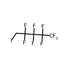 FC(F)(F)C(F)(F)C(F)(F)C(F)(F)CI